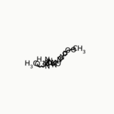 CO/C=C\C=C\c1nc2c3cnn(CC(=O)N4CCN(c5ccc(OCCOC)cc5)CC4)c3nc(N)n2n1